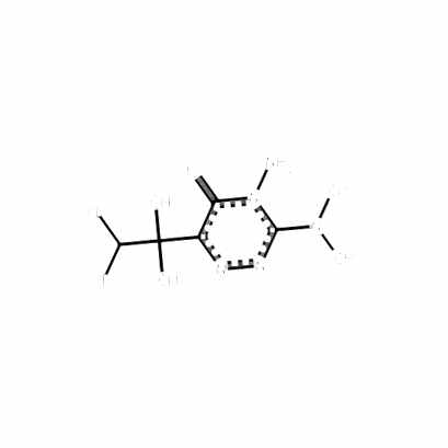 CN(C)c1nnc(C(C)(C)C(Cl)Cl)c(=O)n1N